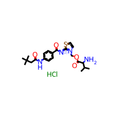 CC(C)C(N)C(=O)OCn1ccs/c1=N\C(=O)c1ccc(NC(=O)CC(C)(C)C)cc1.Cl